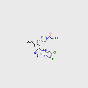 C=C/N=C1/C=C(OC)C(OC2CCN(C(=O)CO)CC2)=C/C1=C(/N)Nc1ccc(F)c(Cl)c1